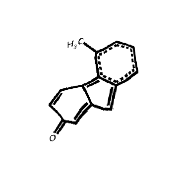 Cc1cccc2c1=C1C=CC(=O)C=C1[C]=2